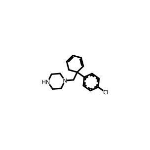 Clc1ccc(C2(CN3CCNCC3)C=CC=CC2)cc1